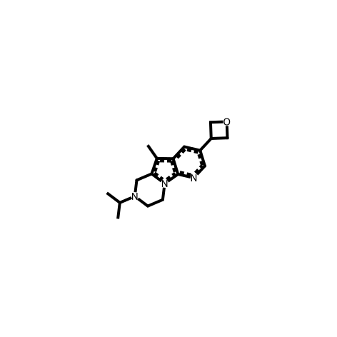 Cc1c2n(c3ncc(C4COC4)cc13)CCN(C(C)C)C2